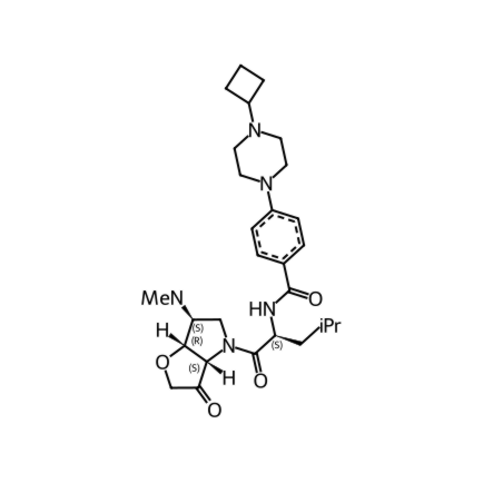 CN[C@H]1CN(C(=O)[C@H](CC(C)C)NC(=O)c2ccc(N3CCN(C4CCC4)CC3)cc2)[C@@H]2C(=O)CO[C@H]12